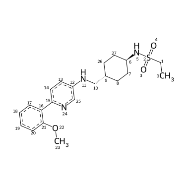 CCS(=O)(=O)N[C@H]1CC[C@H](CNc2ccc(-c3ccccc3OC)nc2)CC1